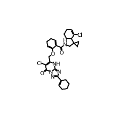 O=C(NCC1(C2CCCC=C2Cl)CC1)C1=CCCC=C1OCc1[nH]c2nc(C3=CCCCC3)nn2c(=O)c1Cl